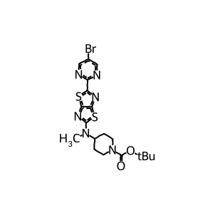 CN(c1nc2sc(-c3ncc(Br)cn3)nc2s1)C1CCN(C(=O)OC(C)(C)C)CC1